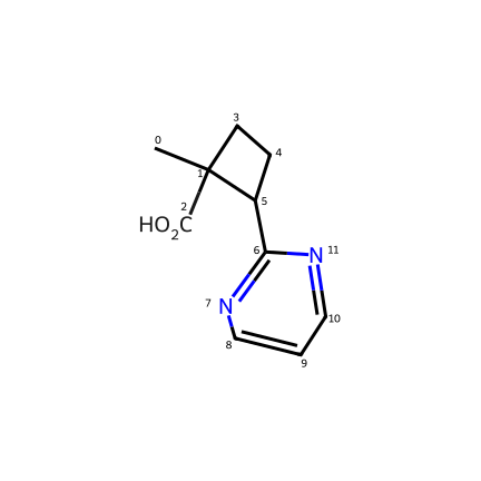 CC1(C(=O)O)CCC1c1ncccn1